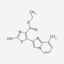 CCOC(=O)c1nc(O)sc1-c1cn2cccc(C)c2n1